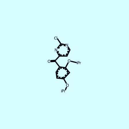 CC(C)Oc1ccc(C(=O)c2ccnc(Cl)n2)c(OC(C)C)c1